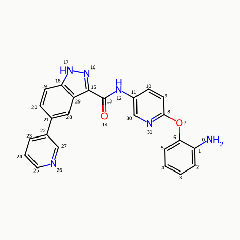 Nc1ccccc1Oc1ccc(NC(=O)c2n[nH]c3ccc(-c4cccnc4)cc23)cn1